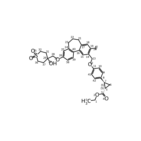 CCOC(=O)[C@H]1C[C@@H]1c1ccc(OCc2cc3c(cc2F)CCCc2cc(OCC4(O)CCS(=O)(=O)CC4)ccc2-3)cc1